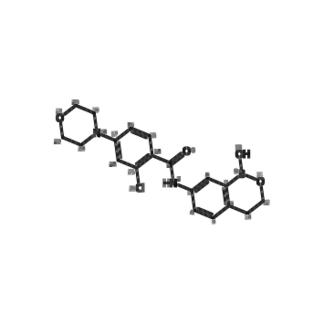 O=C(Nc1ccc2c(c1)B(O)OCC2)c1ccc(N2CCOCC2)cc1Cl